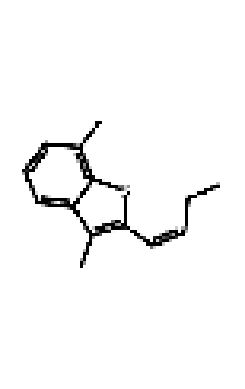 CC/C=C\c1sc2c(C)cccc2c1C